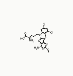 COc1nc(N)c2ncn(Cc3c(Cl)cc(Cl)cc3OCCC[C@@H](N)C(=O)O)c2n1